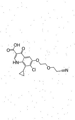 N#CCCOCCOc1cc2c(=O)c(C(=O)O)c[nH]c2c(C2CC2)c1Cl